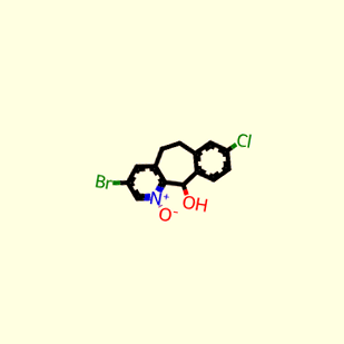 [O-][n+]1cc(Br)cc2c1C(O)c1ccc(Cl)cc1CC2